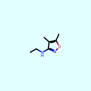 CCNc1noc(C)c1C